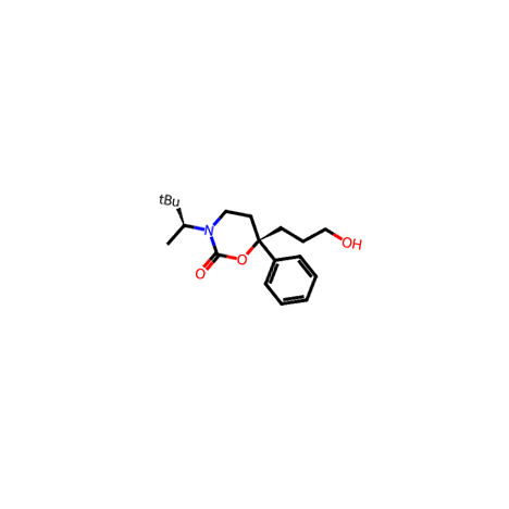 C[C@H](N1CC[C@](CCCO)(c2ccccc2)OC1=O)C(C)(C)C